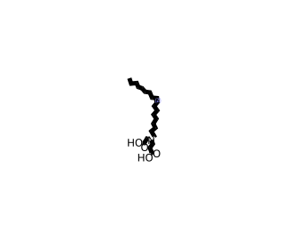 CCCCCCCC/C=C\CCCCCCCCN(CCC(=O)O)CC(=O)O